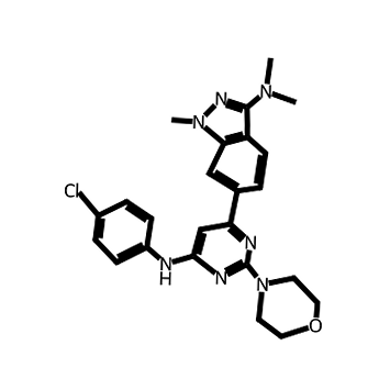 CN(C)c1nn(C)c2cc(-c3cc(Nc4ccc(Cl)cc4)nc(N4CCOCC4)n3)ccc12